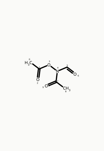 CC(=O)ON(C=O)C(C)=O